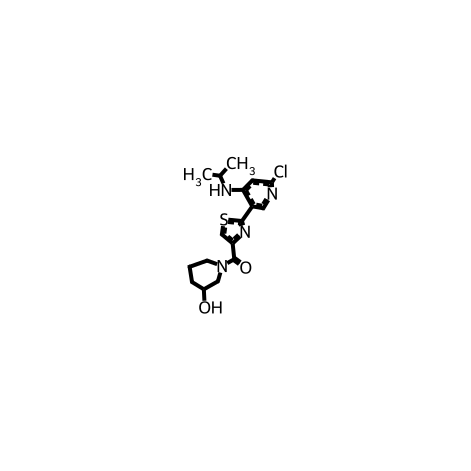 CC(C)Nc1cc(Cl)ncc1-c1nc(C(=O)N2CCCC(O)C2)cs1